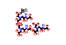 O=C([O-])CNC(O)CN(CC(=O)[O-])CC(=O)O.O=C([O-])CNC(O)CN(CC(=O)[O-])CC(=O)O.O=C([O-])CNC(O)CN(CC(=O)[O-])CC(=O)O.[Fe+3].[Fe+3]